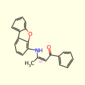 C/C(=C/C(=O)c1ccccc1)Nc1cccc2c1oc1ccccc12